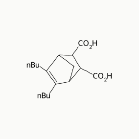 CCCCC1=C(CCCC)C2CC1C(C(=O)O)C2C(=O)O